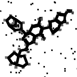 Nc1nc2cc(-c3c(Cl)cc4c(N5CC6CCC(C5)N6)nc(OCC56CCCN5CCC6)nc4c3F)ccc2o1